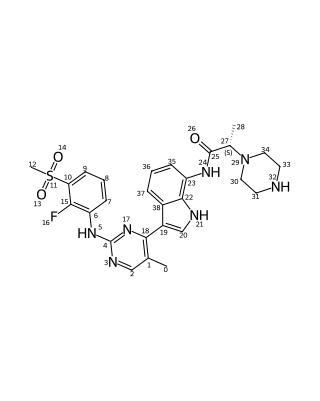 Cc1cnc(Nc2cccc(S(C)(=O)=O)c2F)nc1-c1c[nH]c2c(NC(=O)[C@H](C)N3CCNCC3)cccc12